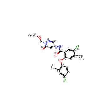 CCc1cc(F)ccc1Oc1cc(C(F)(F)F)c(Cl)cc1C(=O)Nc1cnn(COC=O)c(=O)c1